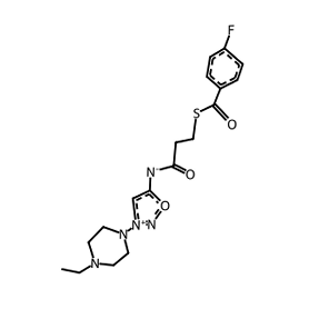 CCN1CCN([n+]2cc([N-]C(=O)CCSC(=O)c3ccc(F)cc3)on2)CC1